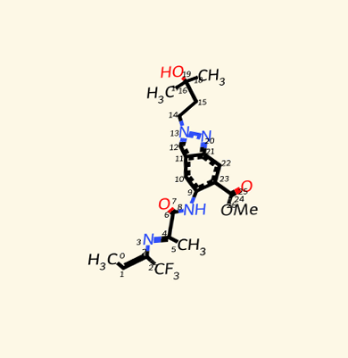 C/C=C(\N=C(/C)C(=O)Nc1cc2cn(CCC(C)(C)O)nc2cc1C(=O)OC)C(F)(F)F